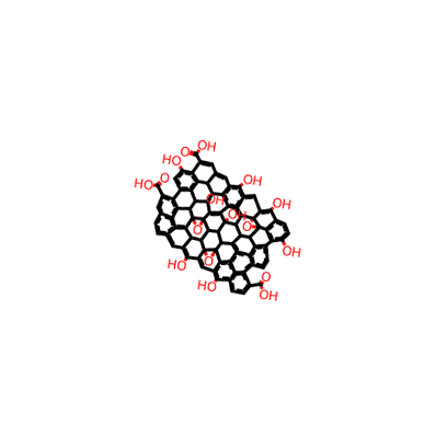 O=C(O)C1=CC2=Cc3c4c5c6c(c3O)=CC3=C(O)c7ccc(O)c8c7C79OC37C=6C3C6C7=c%10c%11c(c-8ccc%11c8c(C(=O)O)ccc%11c(O)c%12c(c%10c%118)C8%10OC8%11C(=C%12)C(O)=C8C=c%12ccc%13cc(C(=O)O)c%14c%15c%13c%12=C%12C8C%11C8C(C7%10)C3(O)C5=C3C5(O)C4C2c2c1c(O)cc-%14c2C5C%15C%121OC381)C69